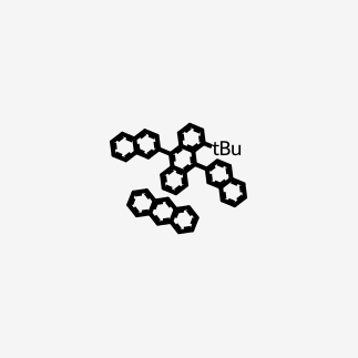 CC(C)(C)c1cccc2c(-c3ccc4ccccc4c3)c3ccccc3c(-c3ccc4ccccc4c3)c12.c1ccc2cc3ccccc3cc2c1